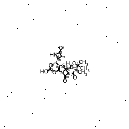 CC(C)(C)[Si](C)(C)C(=O)[C@@H]1C(=O)N2C(OC(=O)O)=C(C[C@H]3CC(=O)N3)S[C@H]12